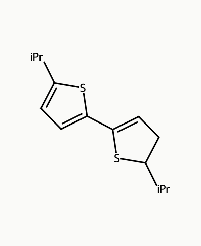 CC(C)c1ccc(C2=CCC(C(C)C)S2)s1